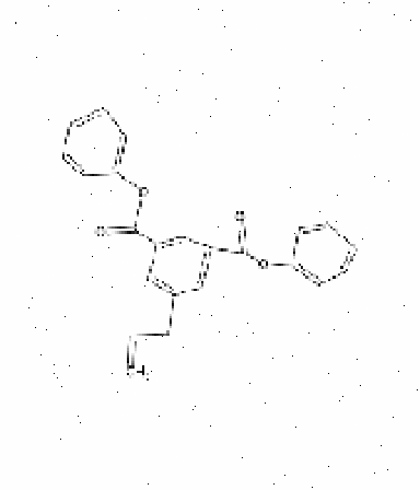 C=CCc1cc(C(=O)Oc2ccccc2)cc(C(=O)Oc2ccccc2)c1